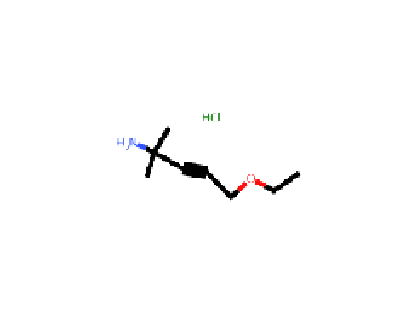 CCOCC#CC(C)(C)N.Cl